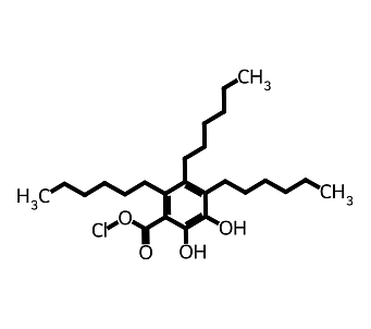 CCCCCCc1c(O)c(O)c(C(=O)OCl)c(CCCCCC)c1CCCCCC